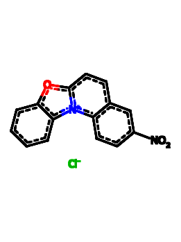 O=[N+]([O-])c1ccc2c(ccc3oc4ccccc4[n+]32)c1.[Cl-]